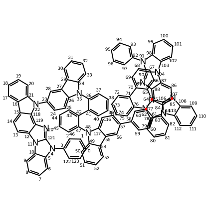 c1ccc(-n2c3ccccc3n3c4ccc5c6ccccc6n(-c6ccc7c(c6)c6ccccc6n7-c6ccccc6-c6ccccc6-n6c7ccccc7c7cc(-c8ccc9c(c8)n(-c8ccccc8-c8ccccc8-n8c%10ccccc%10c%10ccc%11c(nc%12n(-c%13ccccc%13)c%13ccccc%13n%11%12)c%108)c8nc%10ccccc%10n98)ccc76)c5c4nc23)cc1